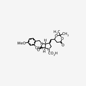 COc1ccc(CN2C(=O)[C@@H]3[C@H]2C(=CC2CC(=O)OC(C)(C)O2)CN3C(=O)O)c(OC)c1